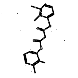 Cc1cccc(OC(=O)CC(=O)Oc2cccc(C)c2C)c1C